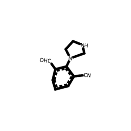 N#Cc1cccc(C=O)c1N1CCNC1